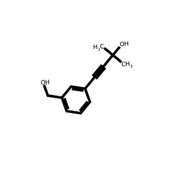 CC(C)(O)C#Cc1cccc(CO)c1